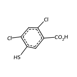 O=C(O)c1cc(S)c(Cl)cc1Cl